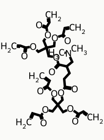 C=CC(=O)OCC(COC(=O)C=C)(COC(=O)C=C)COC(=O)CCC(CN(C)C)C(=O)OCC(COC(=O)C=C)(COC(=O)C=C)COC(=O)C=C